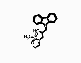 CC(C)CN(CC(O)Cn1c2ccccc2c2ccccc21)S(C)(=O)=O